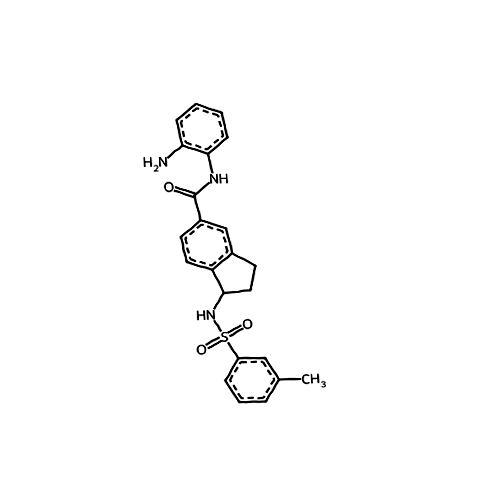 Cc1cccc(S(=O)(=O)NC2CCc3cc(C(=O)Nc4ccccc4N)ccc32)c1